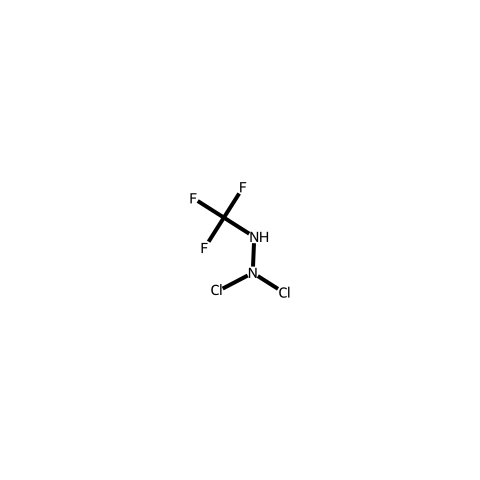 FC(F)(F)NN(Cl)Cl